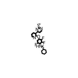 CSc1nccc(-c2cccnc2Oc2cc(F)c(NSC3CCCCC3)c(F)c2F)n1